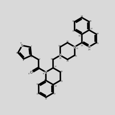 O=C(Cc1ccsc1)N1c2ccccc2CCC1CN1CCN(c2nccc3ccccc23)CC1